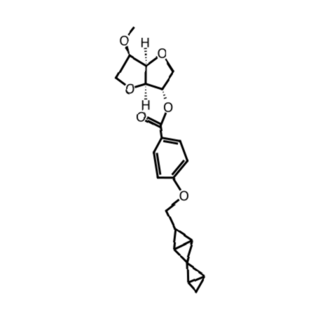 CO[C@@H]1CO[C@H]2[C@@H]1OC[C@@H]2OC(=O)c1ccc(OCC2C3C2C32C3CC32)cc1